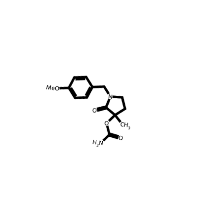 COc1ccc(CN2CCC(C)(OC(N)=O)C2=O)cc1